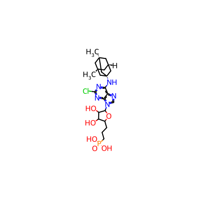 C[C@]12C[C@@H]3C[C@](C)(C1)C[C@@](Nc1nc(Cl)nc4c1ncn4C1OC(CCCP(=O)(O)O)C(O)C1O)(C3)C2